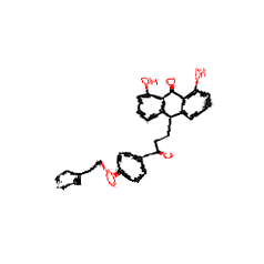 O=C(CCC1c2cccc(O)c2C(=O)c2c(O)cccc21)c1ccc(OCc2ccccc2)cc1